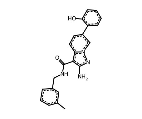 Cc1cccc(CNC(=O)c2c(N)nn3cc(-c4ccccc4O)ccc23)c1